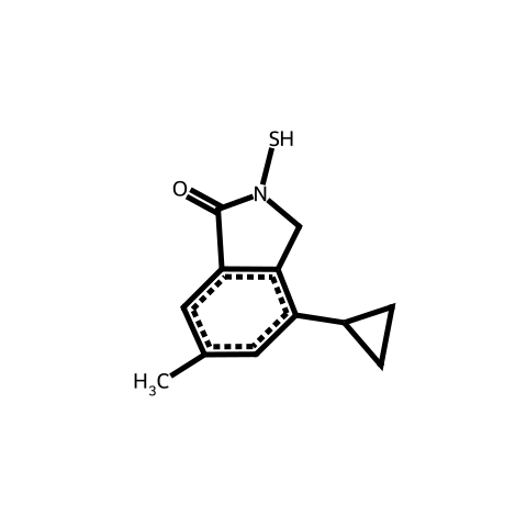 Cc1cc2c(c(C3CC3)c1)CN(S)C2=O